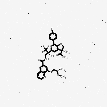 CO[C@@H](C)COc1cc(C(=O)NC[C@](O)(c2cc3c(c(-c4ccc(F)cc4)n2)OC[C@]3(C)C(N)=O)C(F)(F)F)cc2cccnc12